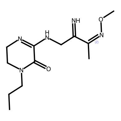 CCCN1CCN=C(NCC(=N)/C(C)=N\OC)C1=O